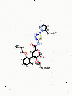 COCCOc1c(-c2c(OC)cccc2OCCC#N)cc(C(=O)Nc2nnc(-n3nccc3NC(C)=O)s2)oc1=O